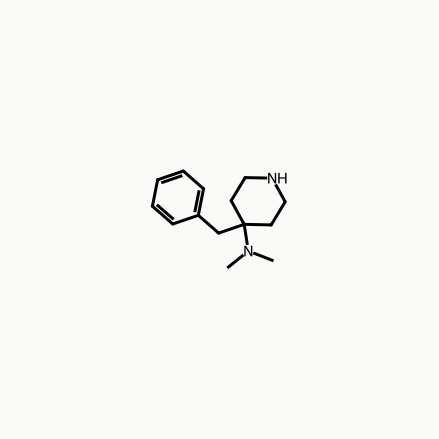 CN(C)C1(Cc2ccccc2)CCNCC1